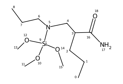 CCCC(CN(CCC)[Si](OC)(OC)OC)C(N)=O